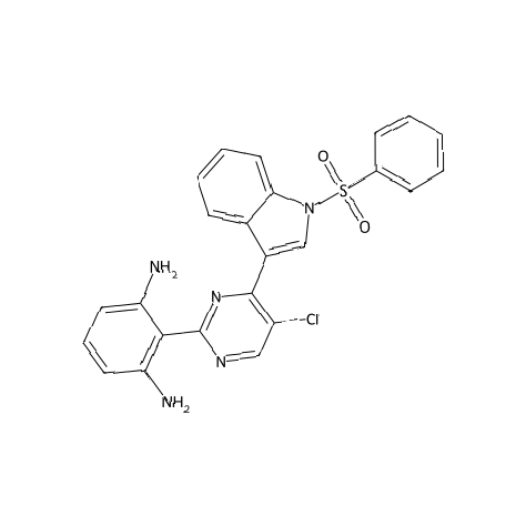 Nc1cccc(N)c1-c1ncc(Cl)c(-c2cn(S(=O)(=O)c3ccccc3)c3ccccc23)n1